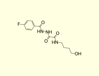 O=C(NCCCCO)C(=O)NNC(=O)c1ccc(F)cc1